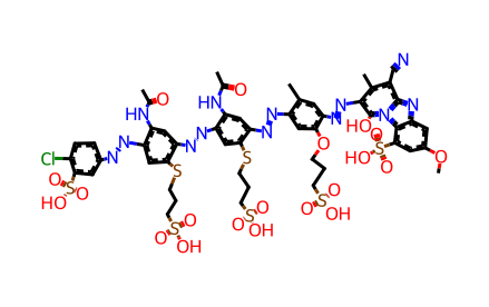 COc1cc(S(=O)(=O)O)c2c(c1)nc1c(C#N)c(C)c(N=Nc3cc(C)c(N=Nc4cc(NC(C)=O)c(N=Nc5cc(NC(C)=O)c(N=Nc6ccc(Cl)c(S(=O)(=O)O)c6)cc5SCCCS(=O)(=O)O)cc4SCCCS(=O)(=O)O)cc3OCCCS(=O)(=O)O)c(O)n12